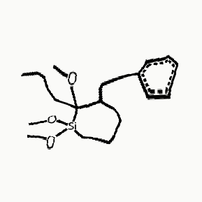 CCCC1(OC)C(Cc2ccccc2)CCC[Si]1(OC)OC